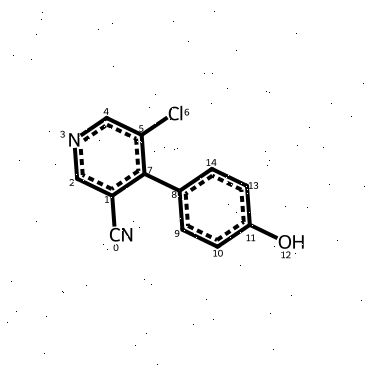 N#Cc1cncc(Cl)c1-c1ccc(O)cc1